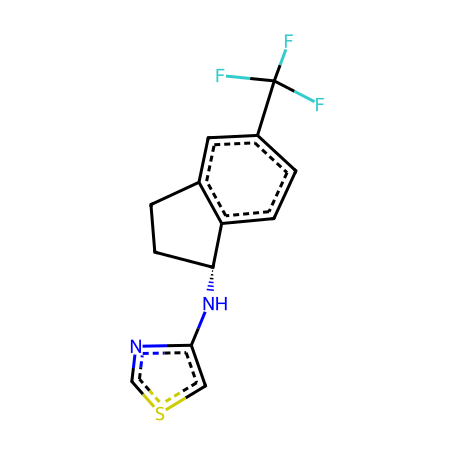 FC(F)(F)c1ccc2c(c1)CC[C@H]2Nc1cscn1